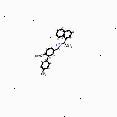 COc1ccc(CN[C@H](C)c2cccc3ccccc23)cc1-c1ccc(C(F)(F)F)cc1